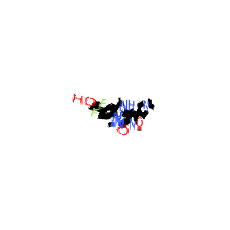 COc1nc2c(=O)n(C)nc(N[C@H](C)c3cccc(C(F)(F)C(C)(C)O)c3)c2cc1C1CCN(C(C)C)CC1